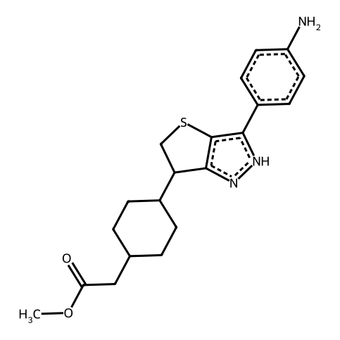 COC(=O)CC1CCC(C2CSc3c2n[nH]c3-c2ccc(N)cc2)CC1